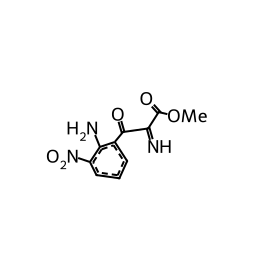 COC(=O)C(=N)C(=O)c1cccc([N+](=O)[O-])c1N